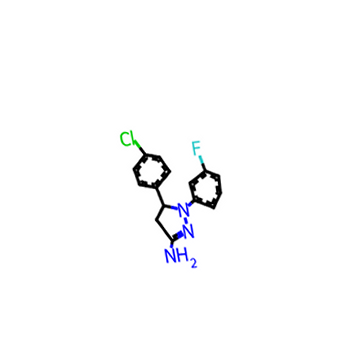 NC1=NN(c2cccc(F)c2)C(c2ccc(Cl)cc2)C1